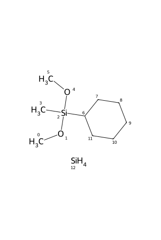 CO[Si](C)(OC)C1CCCCC1.[SiH4]